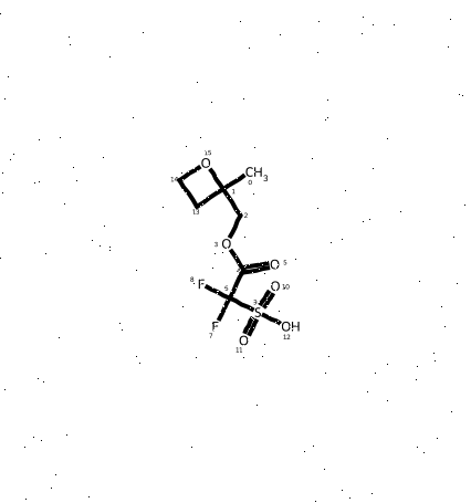 CC1(COC(=O)C(F)(F)S(=O)(=O)O)CCO1